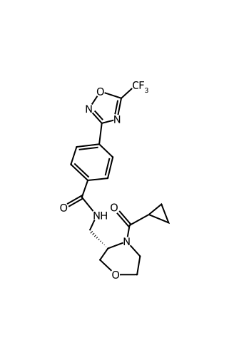 O=C(NC[C@H]1COCCN1C(=O)C1CC1)c1ccc(-c2noc(C(F)(F)F)n2)cc1